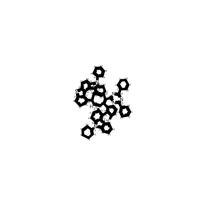 Cc1cccc(C2=C(\c3nc(C4=CCCC=C4)nc(-c4ccccc4)n3)CC#CC(c3cccc4sc5ccc6c(c7c(n6-c6ccccc6)=CCCC=7)c5c34)/C=C\2)c1-c1c(C)ccc2c1c1ccccc1n2C1=CCCC=C1